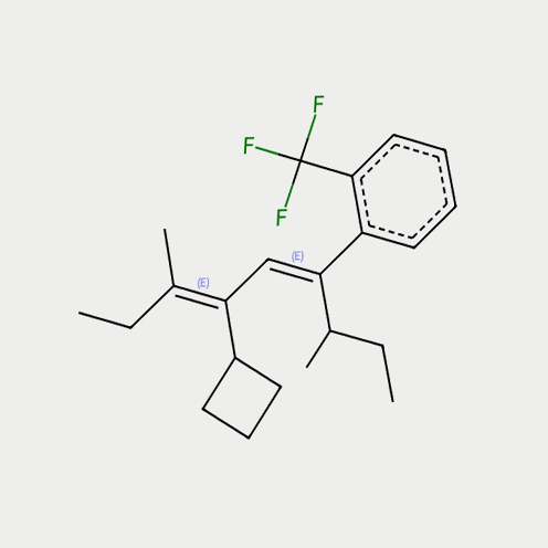 CC/C(C)=C(/C=C(/c1ccccc1C(F)(F)F)C(C)CC)C1CCC1